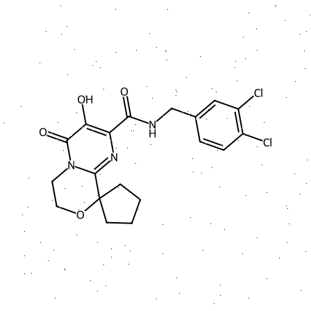 O=C(NCc1ccc(Cl)c(Cl)c1)c1nc2n(c(=O)c1O)CCOC21CCCC1